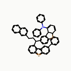 C1=CC2Sc3ccc(C(CCc4ccc5ccccc5c4)c4cccc5sc6ccc(-c7ccccc7)cc6c45)cc3C2C(N(c2ccccc2)c2ccccc2)=C1